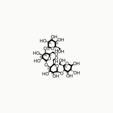 OC[C@H]1O[C@H](O[C@@H]2[C@H](O)[C@@H](O)[C@@H](O[C@@H]3[C@H](O)[C@@H](O)[C@H](O[C@H]4[C@H](O)[C@@H](O)C(O)O[C@@H]4CO)O[C@@H]3CO)O[C@@H]2CO)[C@H](O)[C@@H](O)[C@H]1O